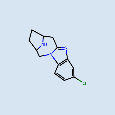 Clc1ccc2c(c1)nc1n2CC2CCC(C1)N2